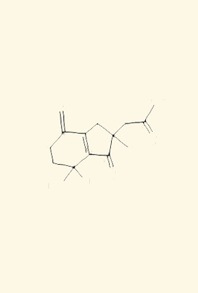 CC1(C)CCC(=O)C2=C1C(=O)C(C)(CC(=O)O)C2